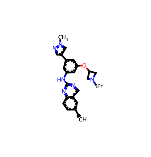 C#Cc1ccc2nc(Nc3cc(OC4CN(C(C)C)C4)cc(-c4cnn(C)c4)c3)ncc2c1